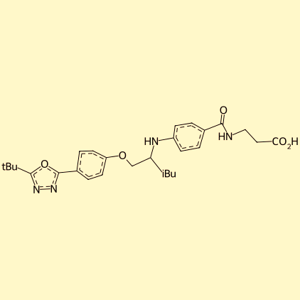 CCC(C)C(COc1ccc(-c2nnc(C(C)(C)C)o2)cc1)Nc1ccc(C(=O)NCCC(=O)O)cc1